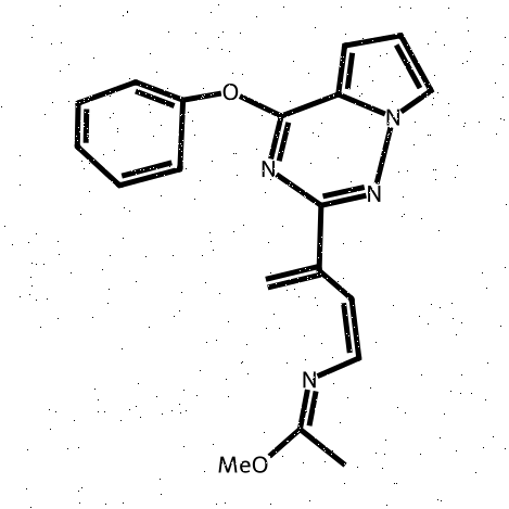 C=C(/C=C\N=C(/C)OC)c1nc(Oc2ccccc2)c2cccn2n1